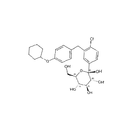 OC[C@H]1O[C@](O)(c2ccc(Cl)c(Cc3ccc(OC4CCCCC4)cc3)c2)[C@H](O)[C@@H](O)[C@@H]1O